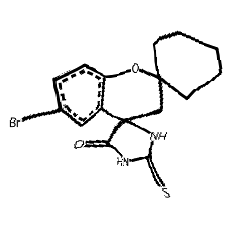 O=C1NC(=S)NC12CC1(CCCCC1)Oc1ccc(Br)cc12